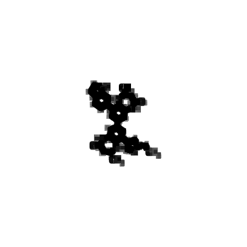 CCn1cc(-c2cc(-c3cc4c(c(-c5ccc6cc[nH]c6c5)c3)N[C@H](C)CC(=O)N4)cc3c2N[C@H](C)CC(=O)N3)cn1